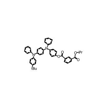 CC(C)OC(=O)c1cccc(C(=O)Oc2ccc(N(c3ccccc3)c3ccc(N(c4ccccc4)c4ccc(C(C)(C)C)cc4)cc3)cc2)c1